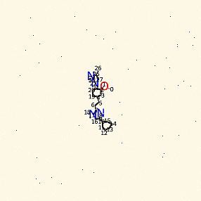 COc1cc(/C=C/c2nc(-c3ccccc3)cn2C)ccc1-n1cnc(C)c1